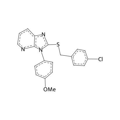 COc1ccc(-n2c(SCc3ccc(Cl)cc3)nc3cccnc32)cc1